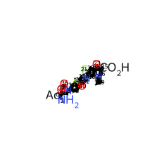 CC(=O)C(N)C1CN(c2ccc(OC3CCN(c4cc5c(cc4F)c(=O)c(C(=O)O)cn5C4CC4)C3)c(F)c2)C(=O)O1